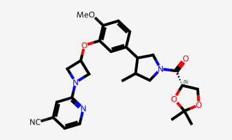 COc1ccc(C2CN(C(=O)[C@@H]3COC(C)(C)O3)CC2C)cc1OC1CN(c2cc(C#N)ccn2)C1